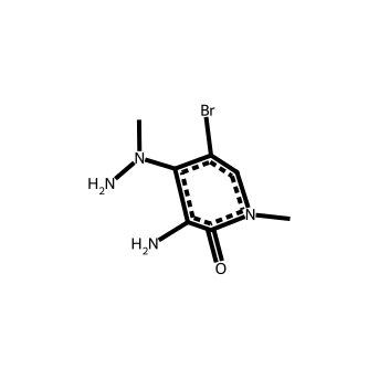 CN(N)c1c(Br)cn(C)c(=O)c1N